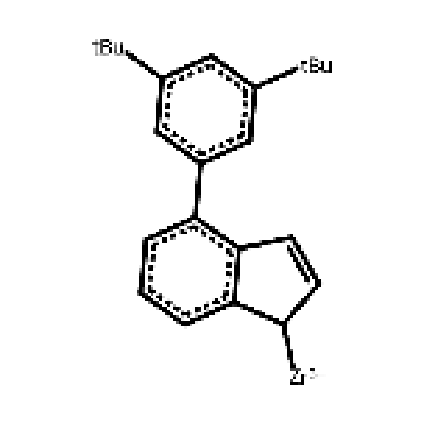 CC(C)(C)c1cc(-c2cccc3c2C=C[CH]3[Zr+3])cc(C(C)(C)C)c1